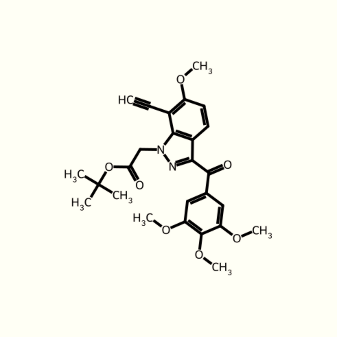 C#Cc1c(OC)ccc2c(C(=O)c3cc(OC)c(OC)c(OC)c3)nn(CC(=O)OC(C)(C)C)c12